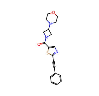 O=C(c1cnc(C#Cc2ccccc2)s1)N1CC(N2CCOCC2)C1